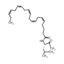 CC/C=C\C/C=C\C/C=C\C/C=C\C/C=C\CCCC(=O)N[C@@H](CC(C)C)C(C)=O